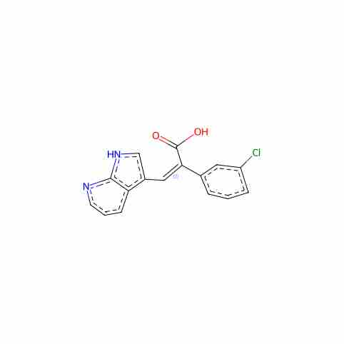 O=C(O)/C(=C\c1c[nH]c2ncccc12)c1cccc(Cl)c1